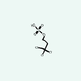 O=S(=O)(O)OCCC(Cl)(Cl)Cl